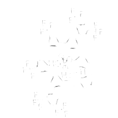 Cc1cc(-c2cc(-c3cc(C(F)(F)F)cc(C(F)(F)F)c3)cc(-c3cc4c(c5c3OP(=O)(O)O[C@@H]3C(c6cc(-c7cc(C)cc(C(F)(F)F)c7)cc(-c7cc(C(F)(F)F)cc(C(F)(F)F)c7)c6)Cc6ccccc6[C@H]53)CCCC4)c2)cc(C(F)(F)F)c1